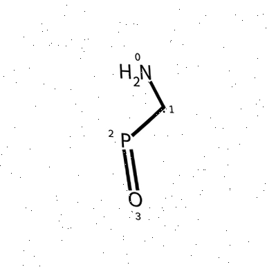 N[CH]P=O